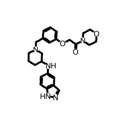 O=C(COc1cccc(CN2CCCC(Nc3ccc4[nH]ncc4c3)C2)c1)N1CCOCC1